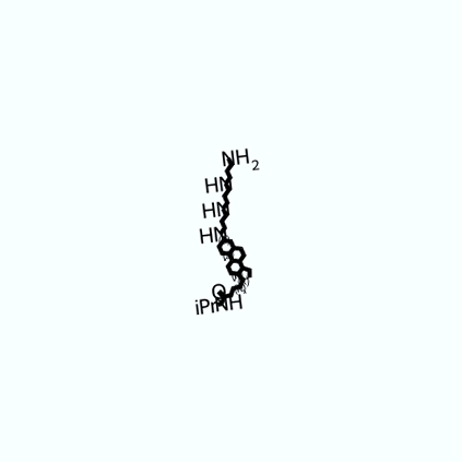 CC(C)NC(=O)CC[C@@H](C)[C@H]1CCC2C3CCC4C[C@@H](NCCCNCCCNCCCN)CC[C@]4(C)C3CC[C@@]21C